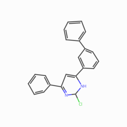 ClC1N=C(c2ccccc2)C=C(c2cccc(-c3ccccc3)c2)N1